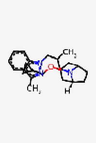 Cc1nn(CC(C)CN2C3CC[C@@H]2CC(OCC2CC2)C3)c2ccccc12